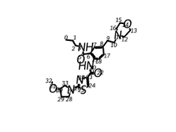 CCCNC(=O)c1cc(CCN2CCOCC2)ccc1NC(=O)c1csc(N2CC[C@H](OC)C2)n1